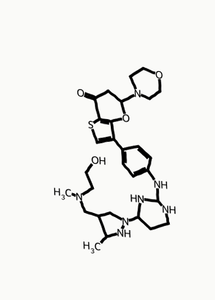 CC1NN(C2CCNC(Nc3ccc(-c4csc5c4OC(N4CCOCC4)CC5=O)cc3)N2)CC1CN(C)CCO